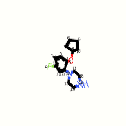 Fc1ccc(OC2CCCC2)c(N2CCNCC2)c1